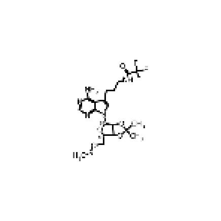 CSOC[C@H]1O[C@@H](n2cc(CCCNC(=O)C(F)(F)F)c3c(N)ncnc32)C2OC(C)(C)OC21